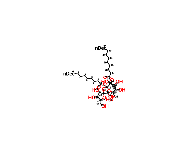 CCCCCCCCCCCCCCCCCC(=O)O[C@@]1(OC2(CO)O[C@H](CO)[C@@H](O)[C@@H]2O)O[C@H](CO)[C@@H](O)[C@H](O)[C@]1(O)OC(=O)CCCCCCCCCCCCCCCCC